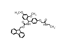 [CH2]CNC(=O)COc1ccc(C(NC(=O)OCC2c3ccccc3-c3ccccc32)c2ccc(OC)cc2OC)cc1